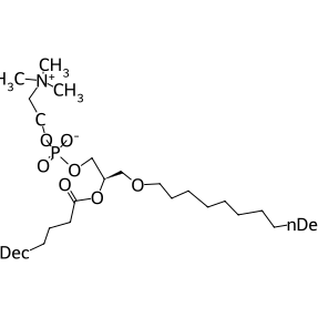 CCCCCCCCCCCCCCCCCCOC[C@H](COP(=O)([O-])OCC[N+](C)(C)C)OC(=O)CCCCCCCCCCCCC